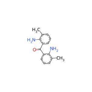 Cc1cccc(C(=O)c2cccc(C)c2N)c1N